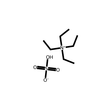 CC[N+](CC)(CC)CC.O=S(=O)([O-])O